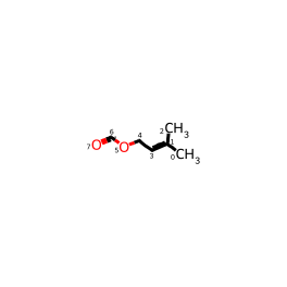 CC(C)=CCO[C]=O